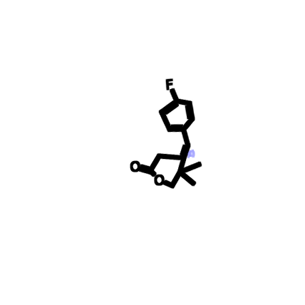 CC1(C)COC(=O)C/C1=C\c1ccc(F)cc1